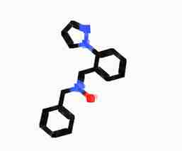 [O-][N+](=Cc1ccccc1-n1cccn1)Cc1ccccc1